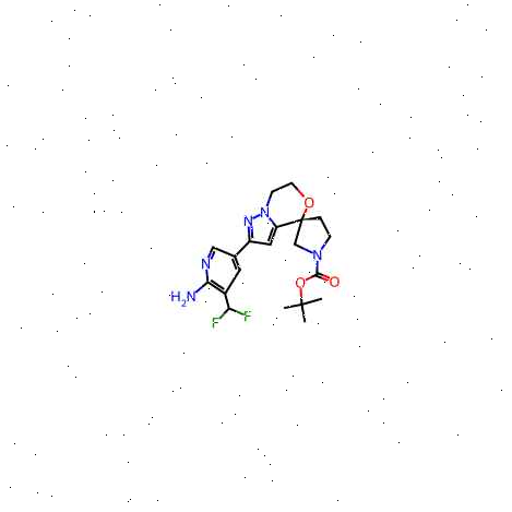 CC(C)(C)OC(=O)N1CC[C@]2(C1)OCCn1nc(-c3cnc(N)c(C(F)F)c3)cc12